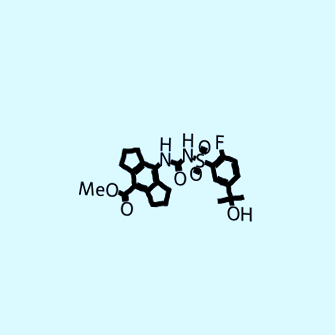 COC(=O)c1c2c(c(NC(=O)NS(=O)(=O)c3cc(C(C)(C)O)ccc3F)c3c1CCC3)CCC2